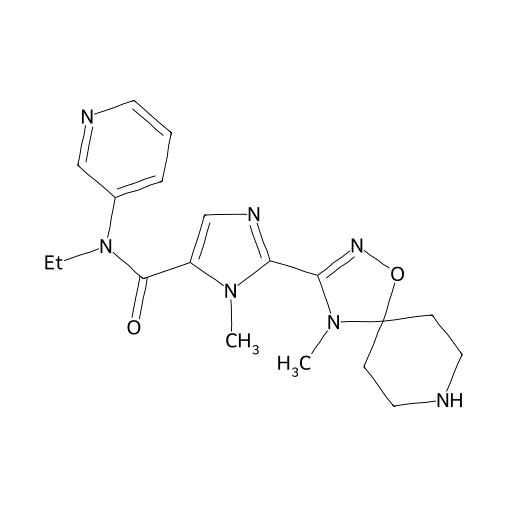 CCN(C(=O)c1cnc(C2=NOC3(CCNCC3)N2C)n1C)c1cccnc1